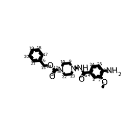 COc1cc(C(=O)NN2CCN(C(=O)OCc3ccccc3)CC2)ccc1N